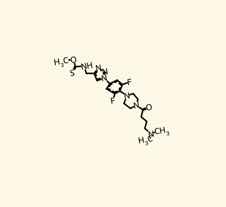 COC(=S)NCc1cn(-c2cc(F)c(N3CCN(C(=O)CCCN(C)C)CC3)c(F)c2)nn1